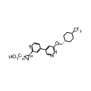 O=C(O)[C@H]1C[C@@H]1c1cc(-c2cnnc(OC[C@H]3CC[C@H](C(F)(F)F)CC3)c2)ccn1